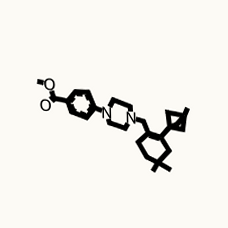 COC(=O)c1ccc(N2CCN(CC3=C(C45CC(C)(C4)C5)CC(C)(C)CC3)CC2)cc1